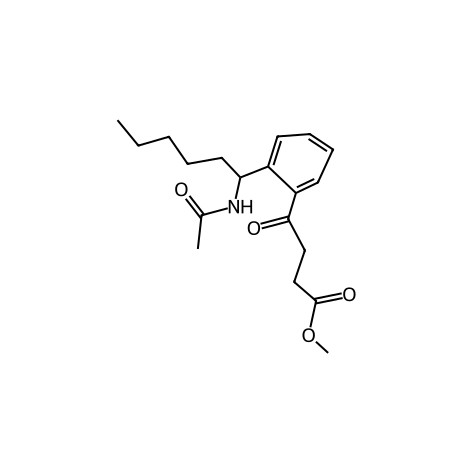 CCCCCC(NC(C)=O)c1ccccc1C(=O)CCC(=O)OC